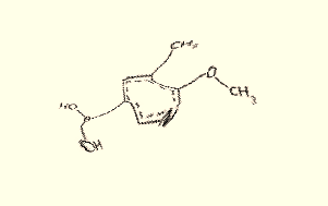 COc1ncc(B(O)O)cc1C